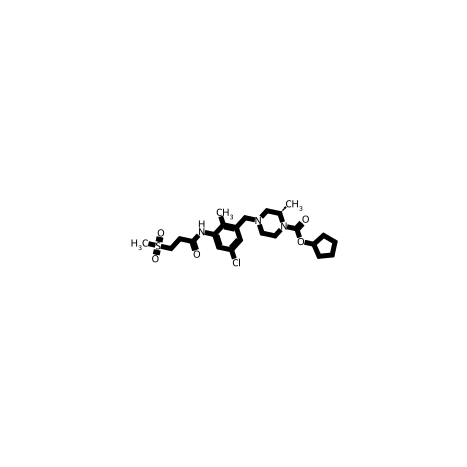 Cc1c(CN2CCN(C(=O)OC3CCCC3)[C@@H](C)C2)cc(Cl)cc1NC(=O)CCS(C)(=O)=O